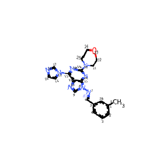 Cc1cccc(/C=N/n2cnc3c(-n4ccnc4)nc(N4CCOCC4)nc32)c1